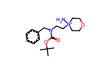 CC(C)(C)OC(=O)N(CC[N+]1(N)CCOCC1)Cc1ccccc1